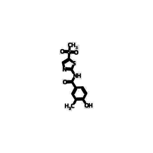 Cc1cc(C(=O)Nc2ncc(S(C)(=O)=O)s2)ccc1O